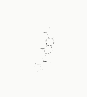 COC(=O)c1ccc2ncn(CC(=O)N3CCCC3)c(=O)c2c1